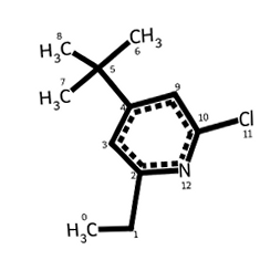 CCc1cc(C(C)(C)C)cc(Cl)n1